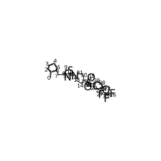 Cc1ccccc1Cc1csc(N2CCC(S(=O)(=O)c3ccc(OC(F)(F)F)cc3)CC2)n1